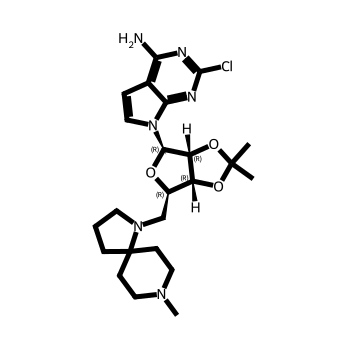 CN1CCC2(CCCN2C[C@H]2O[C@@H](n3ccc4c(N)nc(Cl)nc43)[C@@H]3OC(C)(C)O[C@@H]32)CC1